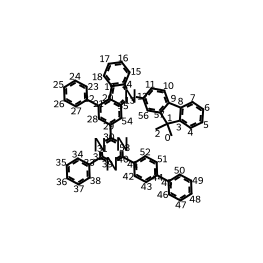 CC1(C)c2ccccc2-c2ccc(-n3c4ccccc4c4c(-c5ccccc5)cc(-c5nc(-c6ccccc6)nc(-c6ccc(-c7ccccc7)cc6)n5)cc43)cc21